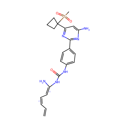 C=C/C=C\C=C(/N)NC(=O)Nc1ccc(-c2nc(N)cc(C3(S(C)(=O)=O)CCC3)n2)cc1